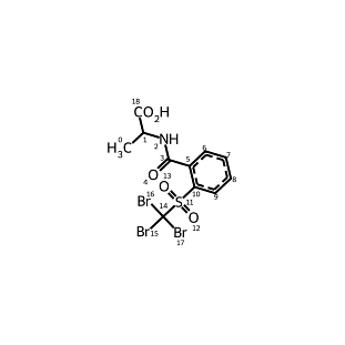 CC(NC(=O)c1ccccc1S(=O)(=O)C(Br)(Br)Br)C(=O)O